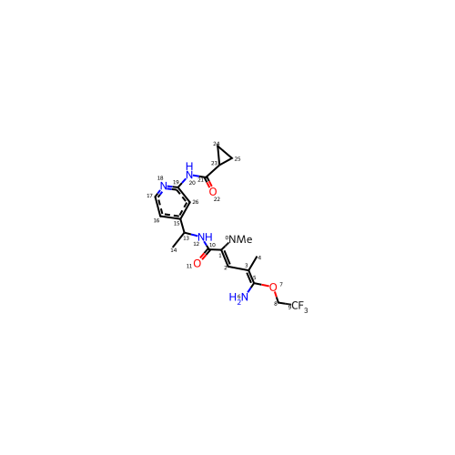 CN/C(=C\C(C)=C(/N)OCC(F)(F)F)C(=O)NC(C)c1ccnc(NC(=O)C2CC2)c1